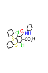 O=C(O)c1c(Cl)c(Sc2ccccc2)c(Sc2ccccc2)c(Cl)c1C(=O)Nc1ccccc1